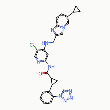 O=C(Nc1cc(NCc2cn3cc(C4CC4)ccc3n2)c(Cl)cn1)C1CC1c1ccccc1-n1cnnn1